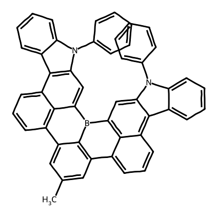 Cc1cc2c3c(c1)-c1cccc4c1c(cc1c4c4ccccc4n1-c1ccccc1)B3c1cc3c(c4cccc-2c14)c1ccccc1n3-c1ccccc1